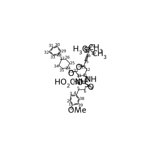 COc1ccc(CCS(=O)(=O)NC(CC(=O)C#C[Si](C)(C)C)C(CO[C@H]2CC[C@@H](c3ccccc3)CC2)NC(=O)O)cc1